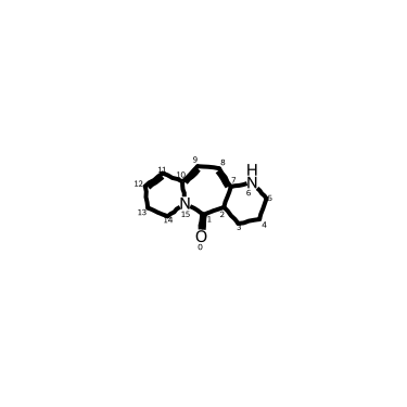 O=C1C2CCCNC2=CC=C2C=CCCN12